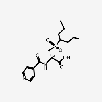 CCCC(CCC)S(=O)(=O)C[C@@H](NC(=O)c1ccncc1)C(=O)O